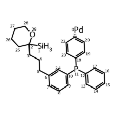 [Pd].[SiH3]C1(CCCc2cccc(P(c3ccccc3)c3ccccc3)c2)CCCCO1